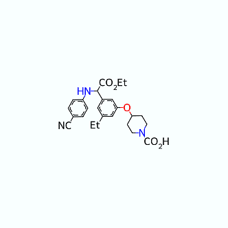 CCOC(=O)C(Nc1ccc(C#N)cc1)c1cc(CC)cc(OC2CCN(C(=O)O)CC2)c1